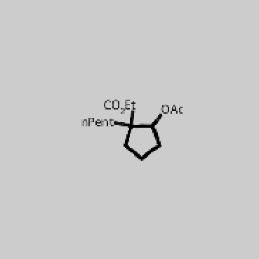 CCCCCC1(C(=O)OCC)CCCC1OC(C)=O